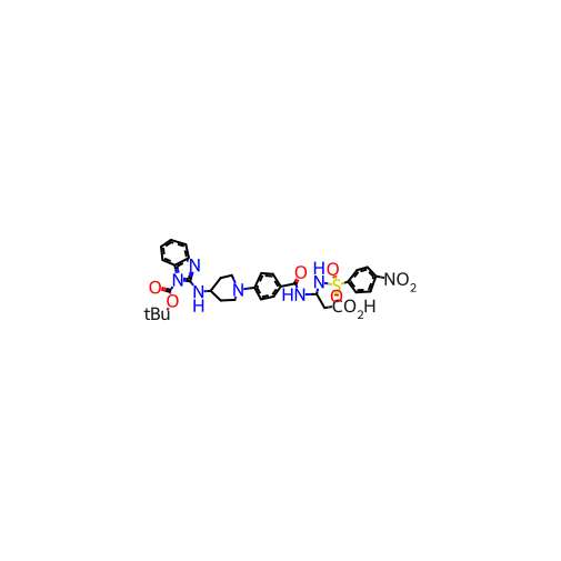 CC(C)(C)OC(=O)n1c(NC2CCN(c3ccc(C(=O)NC(CC(=O)O)NS(=O)(=O)c4ccc([N+](=O)[O-])cc4)cc3)CC2)nc2ccccc21